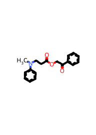 CN(CCC(=O)OCC(=O)c1ccccc1)c1ccccc1